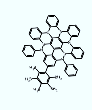 Bc1c(B)c(B)c(-c2cc3c4c(c2)N(c2ccccc2)B2c5ccccc5N5c6ccccc6B6c7ccccc7N7c8ccccc8B(c8c-4c2c5c6c87)N3c2ccccc2)c(B)c1B